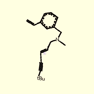 C=Cc1cccc(CN(C)C/C=C/C#CC(C)(C)C)c1